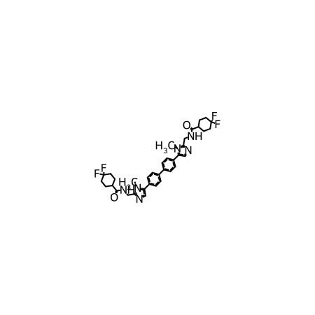 Cn1c(-c2ccc(-c3ccc(-c4cnc(CNC(=O)C5CCC(F)(F)CC5)n4C)cc3)cc2)cnc1CNC(=O)C1CCC(F)(F)CC1